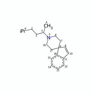 CC(C)CCC(C)N1CCC2(C=Cc3ccccc32)CC1